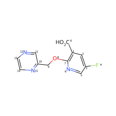 O=C(O)c1cc(F)cnc1OCc1cnccn1